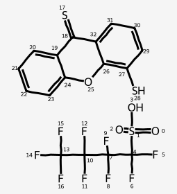 O=S(=O)(O)C(F)(F)C(F)(F)C(F)(F)C(F)(F)F.S=c1c2ccccc2oc2c(S)cccc12